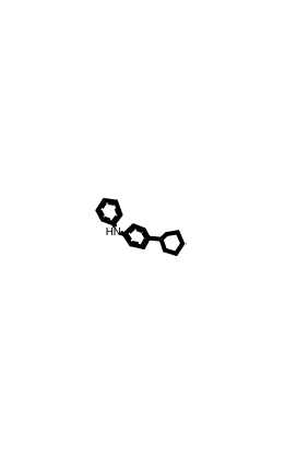 [CH]1CCC(c2ccc(Nc3ccccc3)cc2)CC1